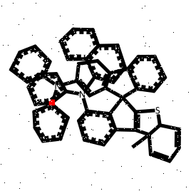 CC12C=CC=CC1SC1=C2c2cccc(N(c3ccccc3)c3cccc4ccccc34)c2C12C1=C(CCC(N(c3ccccc3)c3ccccc3)=C1)c1ccccc12